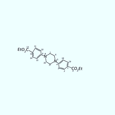 CCOC(=O)c1ccc(N2CCN(c3ccc(C(=O)OCC)cc3)CC2)cc1